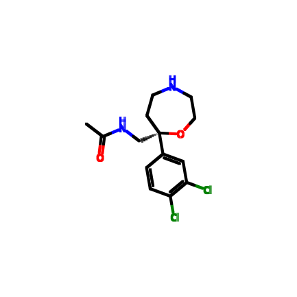 CC(=O)NC[C@]1(c2ccc(Cl)c(Cl)c2)CCNCCO1